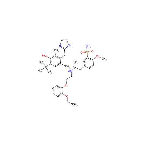 CCOc1ccccc1OCCN[C@H](C)Cc1ccc(OC)c(S(N)(=O)=O)c1.Cc1cc(C(C)(C)C)c(O)c(C)c1CC1=NCCN1